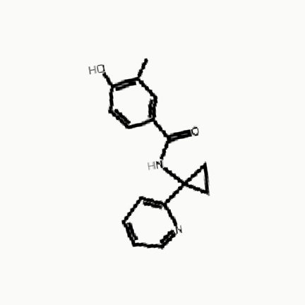 Cc1cc(C(=O)NC2(c3ccccn3)CC2)ccc1O